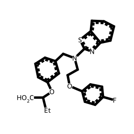 CCC(Oc1cccc(CN(CCOc2ccc(F)cc2)c2nc3ccccc3s2)c1)C(=O)O